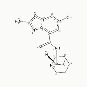 Nc1nc2c(C(=O)N[C@@H]3CC4CCN3CC4)cc(Cl)cc2o1